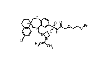 C=C(C)[C@@H]1CC[C@@H]1CN1C[C@@]2(CCCc3cc(Cl)ccc32)COc2ccc(S(=O)(=O)NC(=O)COCCOCC)cc21